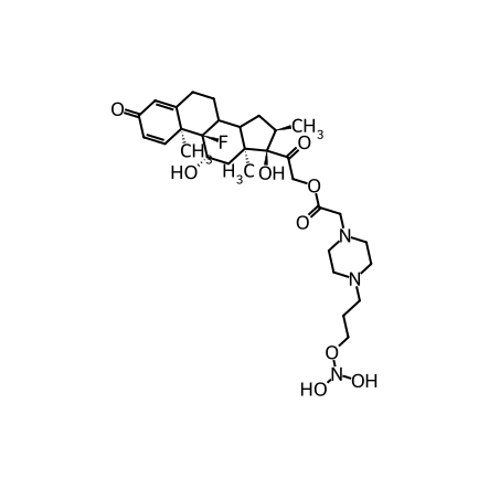 C[C@@H]1CC2C3CCC4=CC(=O)C=C[C@]4(C)[C@@]3(F)[C@@H](O)C[C@]2(C)[C@@]1(O)C(=O)COC(=O)CN1CCN(CCCON(O)O)CC1